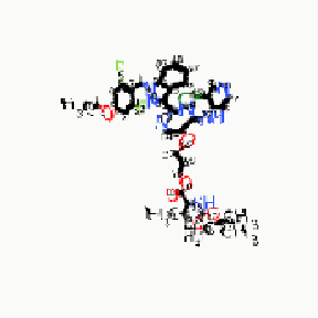 CCOc1cc(F)c(Cn2nc(-c3ncc(OCCCOC(=O)[C@@H](NC(=O)OC(C)(C)C)C(C)C)c(Nc4ccncc4Cl)n3)c3ccccc32)c(F)c1